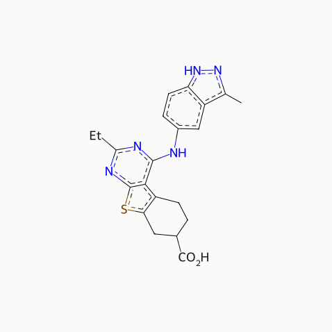 CCc1nc(Nc2ccc3[nH]nc(C)c3c2)c2c3c(sc2n1)CC(C(=O)O)CC3